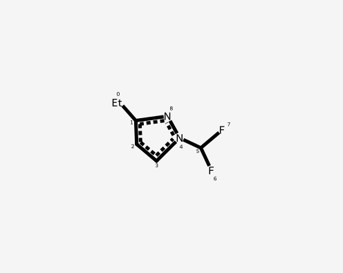 CCc1ccn(C(F)F)n1